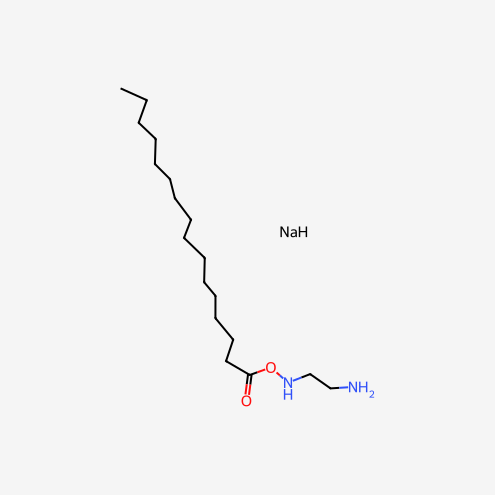 CCCCCCCCCCCCCCCC(=O)ONCCN.[NaH]